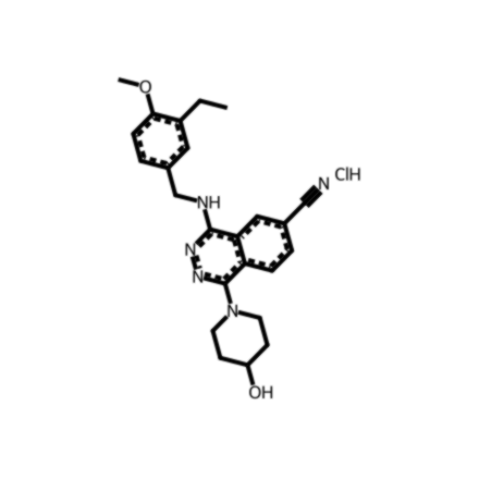 CCc1cc(CNc2nnc(N3CCC(O)CC3)c3ccc(C#N)cc23)ccc1OC.Cl